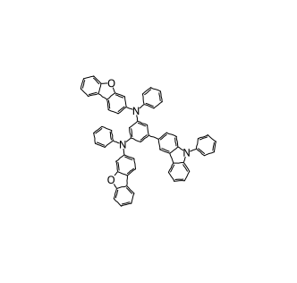 c1ccc(N(c2cc(-c3ccc4c(c3)c3ccccc3n4-c3ccccc3)cc(N(c3ccccc3)c3ccc4c(c3)oc3ccccc34)c2)c2ccc3c(c2)oc2ccccc23)cc1